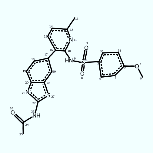 COc1ccc(S(=O)(=O)Nc2nc(C)ccc2-c2ccc3nc(NC(C)=O)sc3c2)cc1